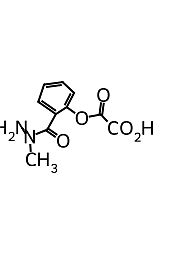 CN(N)C(=O)c1ccccc1OC(=O)C(=O)O